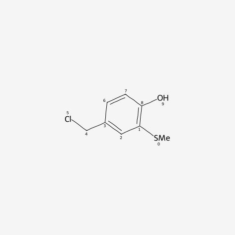 CSc1cc(CCl)ccc1O